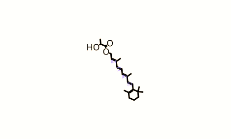 CC1=C(/C=C/C(C)=C/C=C/C(C)=C/COC(=O)C(C)O)C(C)(C)CCC1